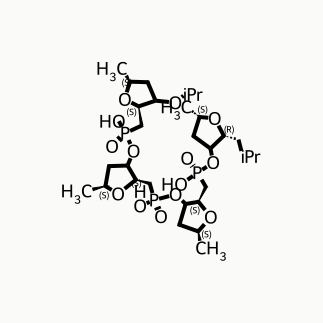 CC(C)C[C@H]1O[C@@H](C)CC1OP(=O)(O)C[C@H]1O[C@@H](C)CC1OP(=O)(O)C[C@H]1O[C@@H](C)CC1OP(=O)(O)C[C@H]1O[C@@H](C)CC1OC(C)C